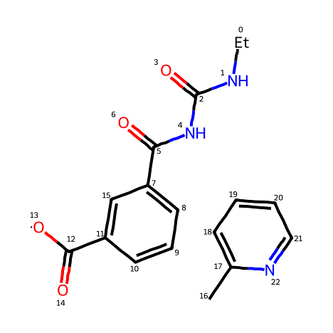 CCNC(=O)NC(=O)c1cccc(C([O])=O)c1.Cc1ccccn1